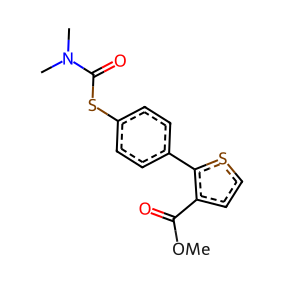 COC(=O)c1ccsc1-c1ccc(SC(=O)N(C)C)cc1